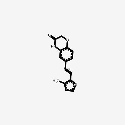 Cc1ccsc1/C=C/c1ccc2c(c1)NC(=O)CO2